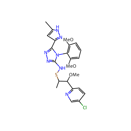 COc1cccc(OC)c1-n1c(NSC(C)C(OC)c2ccc(Cl)cn2)nnc1-c1cc(C)[nH]n1